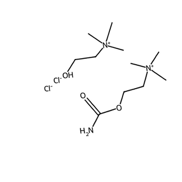 C[N+](C)(C)CCO.C[N+](C)(C)CCOC(N)=O.[Cl-].[Cl-]